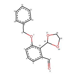 O=Cc1cccc(OCc2ccccc2)c1C1OCCO1